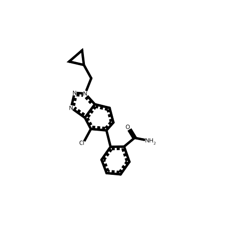 NC(=O)c1ccccc1-c1ccc2c(nnn2CC2CC2)c1Cl